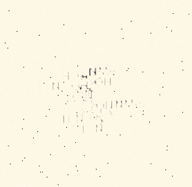 CNCC1=CC[C@@H](N)[C@@H](O[C@H]2[C@H](O)[C@@H](O[C@H]3OC[C@](C)(O)[C@H](NC)[C@H]3O)[C@H](NC(=O)C3(O)CC(N)C3)C[C@@H]2N)O1